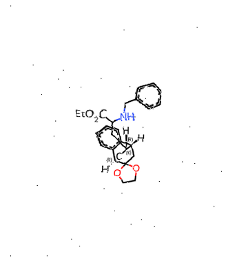 CCOC(=O)C(C[C@H]1C[C@@H]2c3ccccc3[C@@H]1CC21OCCO1)NCc1ccccc1